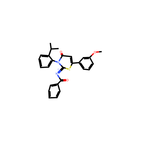 COc1cccc(-c2cc(=O)n(-c3ccccc3C(C)C)/c(=N/C(=O)c3ccccc3)s2)c1